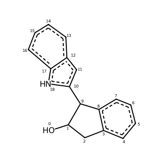 OC1Cc2ccccc2C1c1cc2ccccc2[nH]1